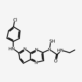 CCNC(=O)N(S)c1cnc2ccc(Nc3ccc(Cl)cc3)nc2n1